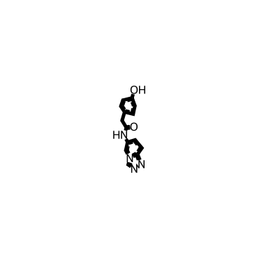 O=C(Cc1ccc(O)cc1)Nc1ccc2nncn2c1